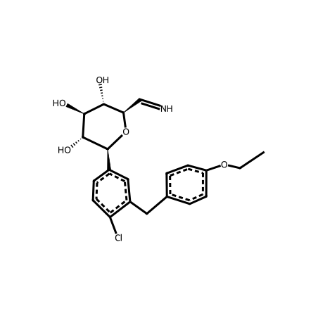 CCOc1ccc(Cc2cc([C@@H]3O[C@H](C=N)[C@@H](O)[C@H](O)[C@H]3O)ccc2Cl)cc1